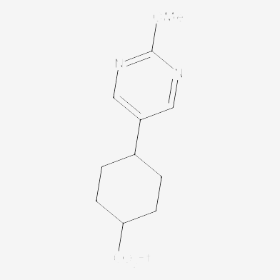 CCOC(=O)C1CCC(c2cnc(OC)nc2)CC1